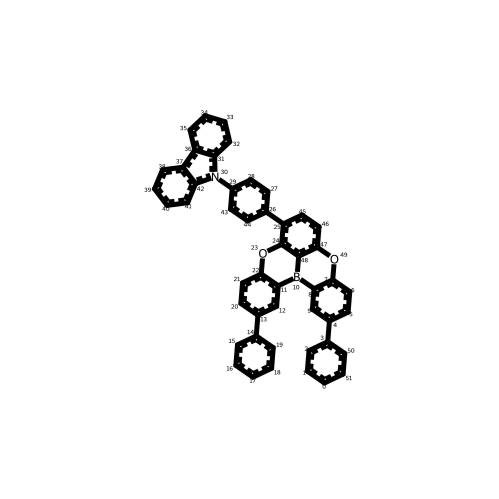 c1ccc(-c2ccc3c(c2)B2c4cc(-c5ccccc5)ccc4Oc4c(-c5ccc(-n6c7ccccc7c7ccccc76)cc5)ccc(c42)O3)cc1